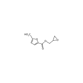 O=C(O)c1ccc(C(=O)OCC2CO2)o1